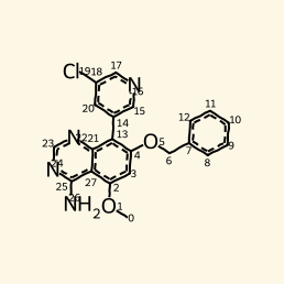 COc1cc(OCc2ccccc2)c(-c2cncc(Cl)c2)c2ncnc(N)c12